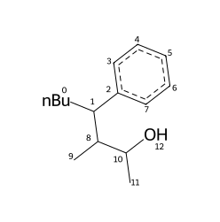 CCCCC(c1ccccc1)C(C)C(C)O